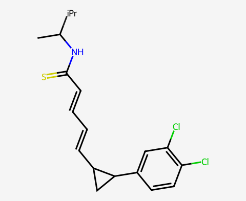 CC(C)C(C)NC(=S)C=CC=CC1CC1c1ccc(Cl)c(Cl)c1